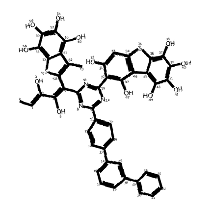 C/C=C(O)/C(O)=C(/c1nc(-c2ccc(-c3cccc(-c4ccccc4)c3)cc2)nc(-c2c(O)cc3sc4c(O)c(O)c(O)c(O)c4c3c2O)n1)c1sc2c(O)c(O)c(O)c(O)c2c1C